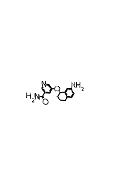 NC(=O)c1cncc(OC2CCCc3ccc(N)cc32)c1